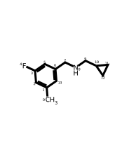 Cc1cc(F)cc(CNCC2CC2)c1